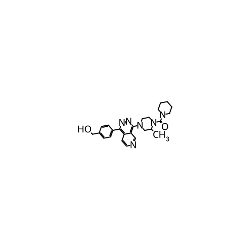 CC1CN(c2nnc(-c3ccc(CO)cc3)c3ccncc23)CCN1C(=O)N1CCCCC1